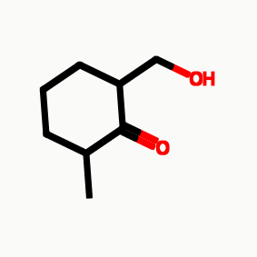 CC1CCCC(CO)C1=O